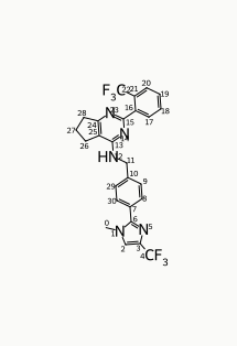 Cn1cc(C(F)(F)F)nc1-c1ccc(CNc2nc(-c3ccccc3C(F)(F)F)nc3c2CCC3)cc1